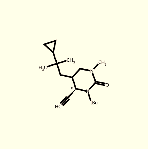 C#C[C@H]1C(CC(C)(C)C2CC2)CN(C)C(=O)N1C(C)(C)C